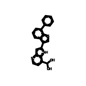 OC(O)c1ccnc2cc(-c3csc4c(-c5ccccc5)cccc34)[nH]c12